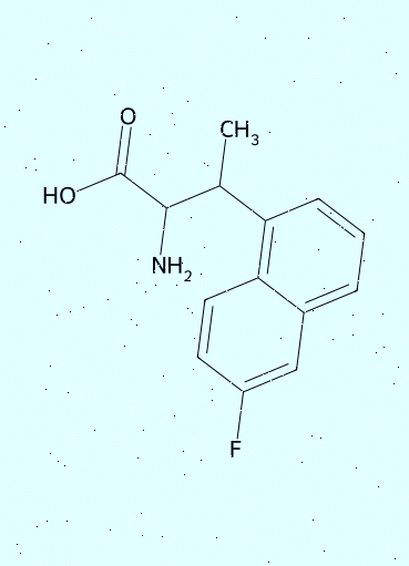 CC(c1cccc2cc(F)ccc12)C(N)C(=O)O